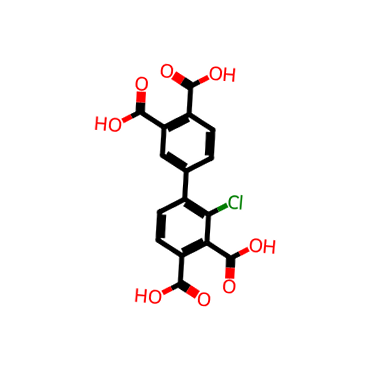 O=C(O)c1ccc(-c2ccc(C(=O)O)c(C(=O)O)c2Cl)cc1C(=O)O